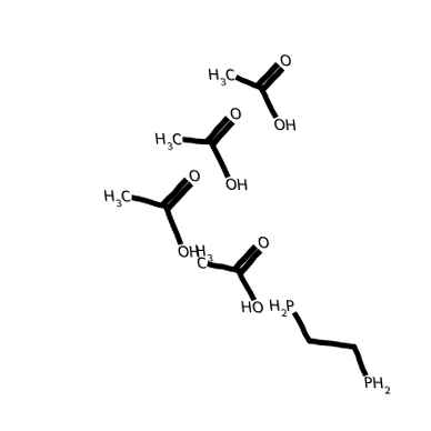 CC(=O)O.CC(=O)O.CC(=O)O.CC(=O)O.PCCP